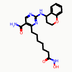 NC(=O)c1cnc(NC2CCOc3ccccc32)nc1CCCCCCC(=O)NO